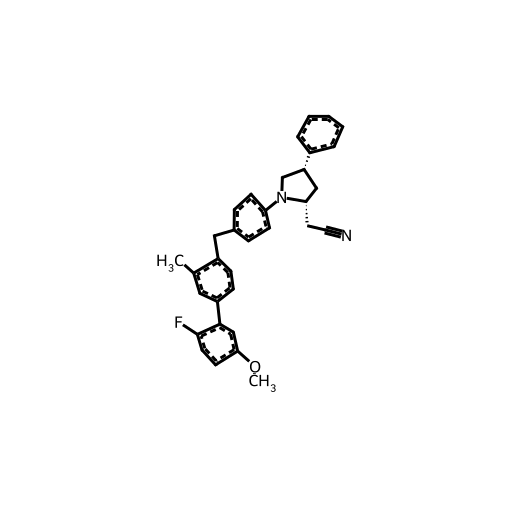 COc1ccc(F)c(-c2ccc(Cc3ccc(N4C[C@H](c5ccccc5)C[C@@H]4CC#N)cc3)c(C)c2)c1